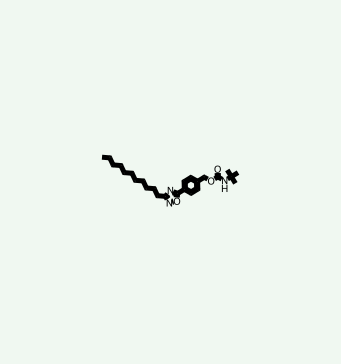 CCCCCCCCCCCc1noc(-c2ccc(COC(=O)NC(C)(C)C)cc2)n1